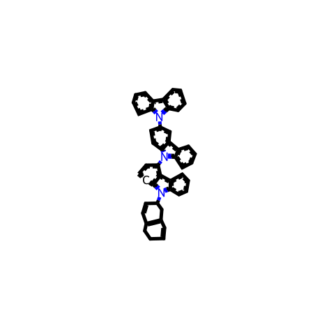 C1=CC2=C(C=CC(n3c4ccccc4c4c(-n5c6ccccc6c6cc(-n7c8ccccc8c8ccccc87)ccc65)cccc43)C2)CC1